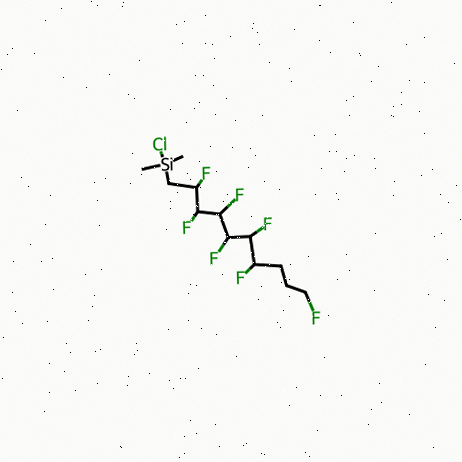 C[Si](C)(Cl)CC(F)C(F)C(F)C(F)C(F)C(F)CCCF